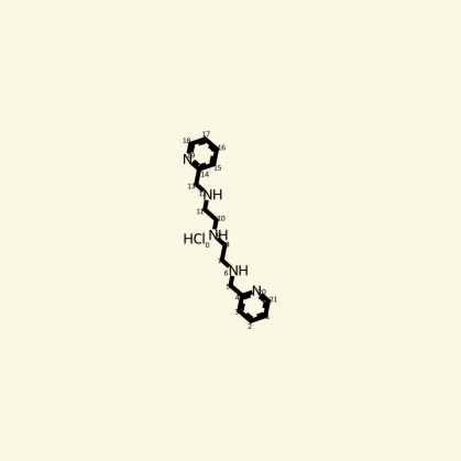 Cl.c1ccc(CNCCNCCNCc2ccccn2)nc1